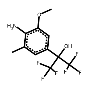 COc1cc(C(O)(C(F)(F)F)C(F)(F)F)cc(C)c1N